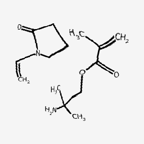 C=C(C)C(=O)OCC(C)(C)N.C=CN1CCCC1=O